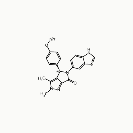 CCCOc1ccc([C@@H]2c3c(nn(C)c3C)C(=O)N2c2ccc3[nH]cnc3c2)cc1